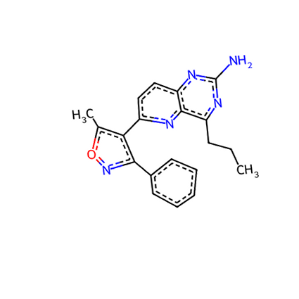 CCCc1nc(N)nc2ccc(-c3c(-c4ccccc4)noc3C)nc12